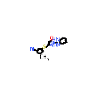 Cc1cc(C#N)cc(SCc2cc(=O)n(-c3nc4ccccc4[nH]3)[nH]2)c1